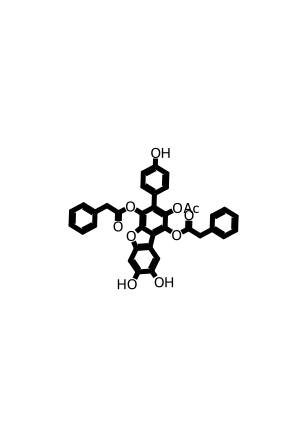 CC(=O)Oc1c(-c2ccc(O)cc2)c(OC(=O)Cc2ccccc2)c2oc3cc(O)c(O)cc3c2c1OC(=O)Cc1ccccc1